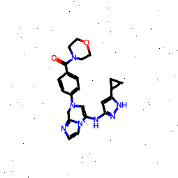 O=C(c1ccc(N2C=C(Nc3cc(C4CC4)[nH]n3)[N+]3C=CN=C3C2)cc1)N1CCOCC1